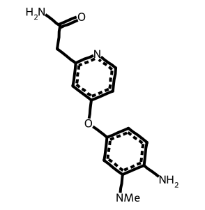 CNc1cc(Oc2ccnc(CC(N)=O)c2)ccc1N